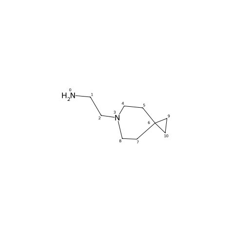 NCCN1CCC2(CC1)CC2